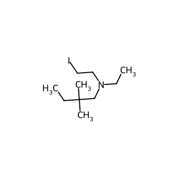 CCN(CCI)CC(C)(C)CC